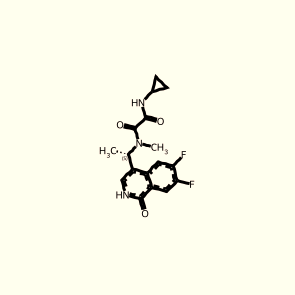 C[C@@H](c1c[nH]c(=O)c2cc(F)c(F)cc12)N(C)C(=O)C(=O)NC1CC1